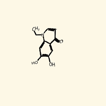 CCn1c[c]c(=O)c2cc(O)c(O)cc21